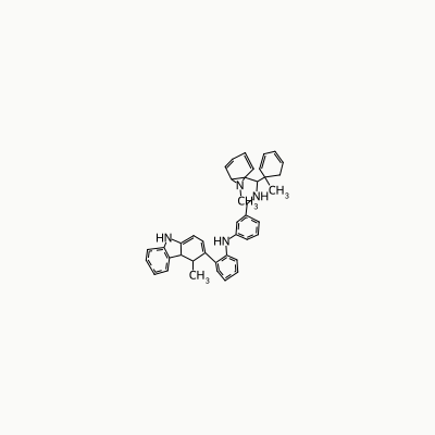 CC1C(c2ccccc2Nc2cccc(CNC(C3(C)C=CC=CC3)C34C=CC=CC3N4C)c2)=CC=C2Nc3ccccc3C21